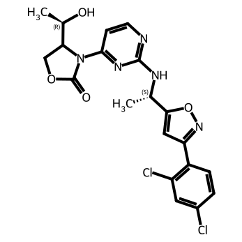 C[C@H](Nc1nccc(N2C(=O)OCC2[C@@H](C)O)n1)c1cc(-c2ccc(Cl)cc2Cl)no1